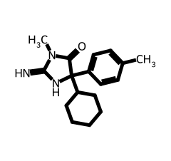 Cc1ccc(C2(C3CCCCC3)NC(=N)N(C)C2=O)cc1